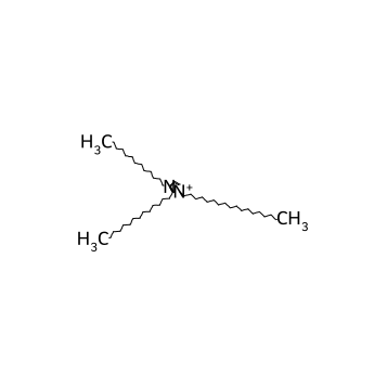 CCCCCCCCCCCCCCCCCC[n+]1ccn(CCCCCCCCCCCCC)c1CCCCCCCCCCCCCC